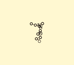 c1ccc(-c2ccc(-c3cc(-c4ccc5oc6c(-c7cccc8c7-c7ccccc7C87CCCCC7)cccc6c5c4)nc(-c4ccccc4)n3)cc2)cc1